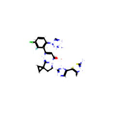 Cc1nc(N)sc1-c1cnc([C@H]2CC3(CC3)c3nc(-c4c(-n5cnnn5)ccc(Cl)c4F)cc(=O)n32)[nH]1